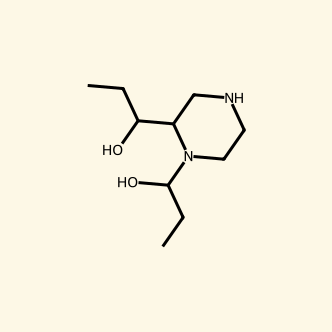 CCC(O)C1CNCCN1C(O)CC